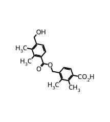 Cc1c(COC(=O)c2ccc(CO)c(C)c2C)ccc(C(=O)O)c1C